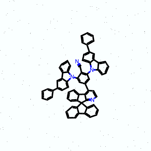 N#Cc1c(-n2c3ccccc3c3cc(-c4ccccc4)ccc32)cc(-c2ccnc3c2-c2ccccc2C32c3ccccc3-c3ccccc32)cc1-n1c2ccccc2c2cc(-c3ccccc3)ccc21